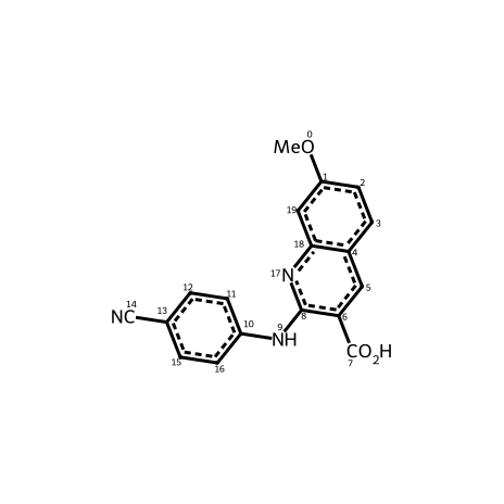 COc1ccc2cc(C(=O)O)c(Nc3ccc(C#N)cc3)nc2c1